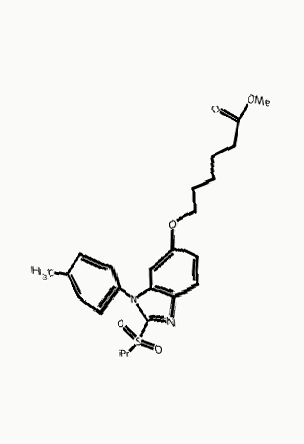 COC(=O)CCCCCOc1ccc2nc(S(=O)(=O)C(C)C)n(-c3ccc(C)cc3)c2c1